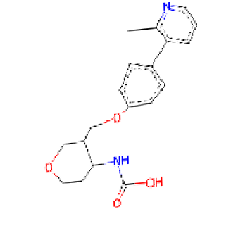 Cc1ncccc1-c1ccc(OCC2COCCC2NC(=O)O)cc1